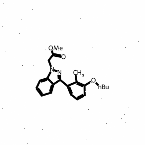 CCCCOc1cccc(-c2nn(CC(=O)OC)c3ccccc23)c1C